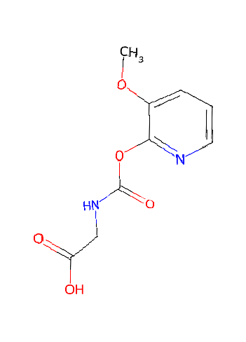 COc1cccnc1OC(=O)NCC(=O)O